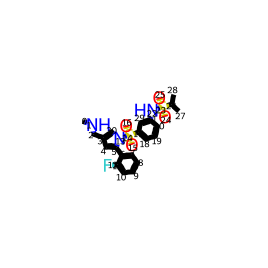 CNCc1cc(-c2ccccc2F)n(S(=O)(=O)c2cccc(NS(=O)(=O)C(C)C)c2)c1